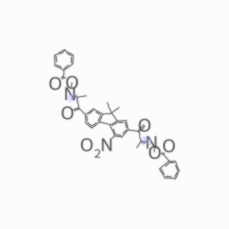 C/C(=N\OC(=O)c1ccccc1)C(=O)c1ccc2c(c1)C(C)(C)c1cc(C(=O)/C(C)=N/OC(=O)c3ccccc3)cc([N+](=O)[O-])c1-2